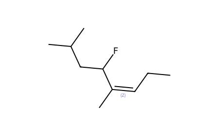 CC/C=C(/C)C(F)CC(C)C